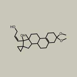 COC1(OC)CCC2=C(CCC3C2CCC2(C)C3CC3(CC3)C2(O)/C=C\CO)C1